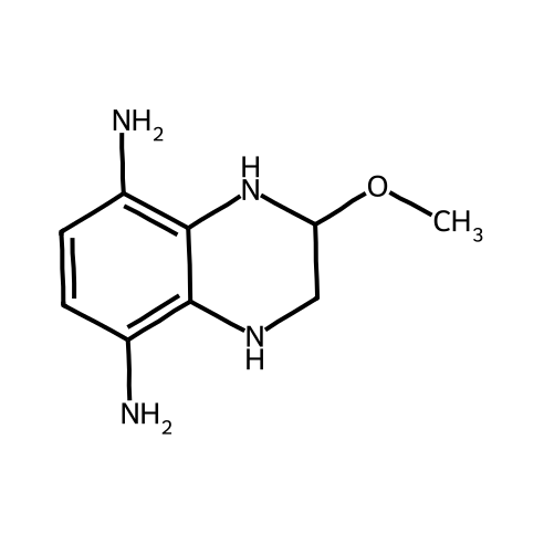 COC1CNc2c(N)ccc(N)c2N1